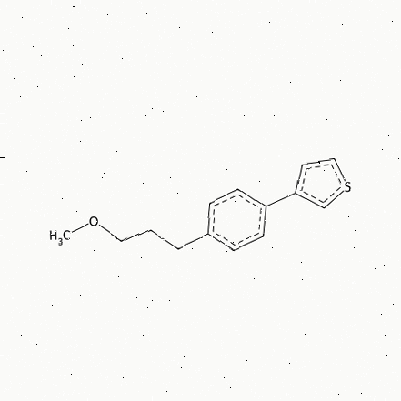 COCCCc1ccc(-c2ccsc2)cc1